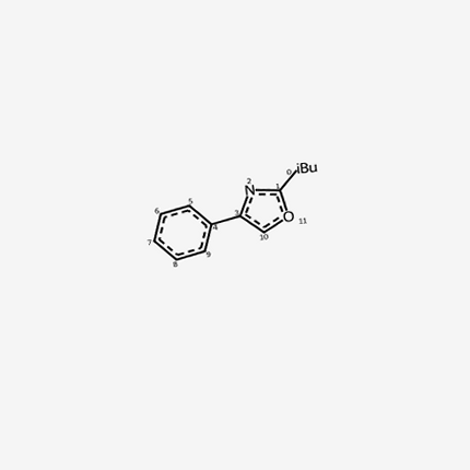 CCC(C)c1nc(-c2ccccc2)co1